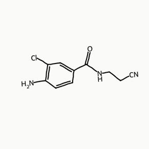 N#CCCNC(=O)c1ccc(N)c(Cl)c1